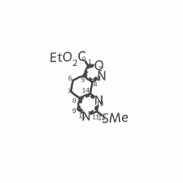 CCOC(=O)c1onc2c1CCc1cnc(SC)nc1-2